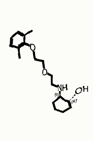 Cc1cccc(C)c1OCCOCCN[C@@H]1CCCC[C@H]1O